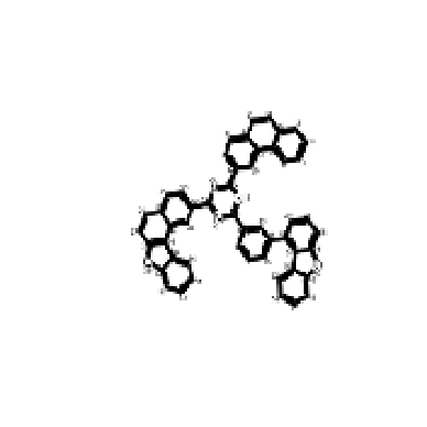 c1cc(-c2nc(-c3ccc4ccc5ccccc5c4c3)nc(-c3ccc4ccc5oc6ccccc6c5c4c3)n2)cc(-c2cccc3oc4ccccc4c23)c1